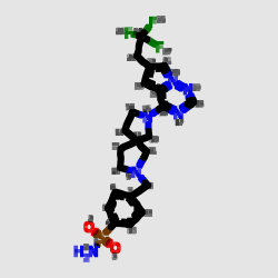 NS(=O)(=O)c1ccc(CN2CCC3(CCN(c4ncnn5cc(CC(F)(F)F)cc45)C3)C2)cc1